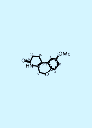 COc1ccc2c(c1)C1=C(CO2)NC(=O)CC1